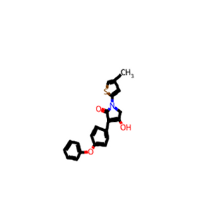 Cc1csc(N2CC(O)=C(c3ccc(Oc4ccccc4)cc3)C2=O)c1